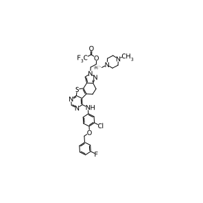 CN1CCN(C[C@H](Cn2cc3c(n2)CCc2c-3sc3ncnc(Nc4ccc(OCc5cccc(F)c5)c(Cl)c4)c23)OC(=O)C(F)(F)F)CC1